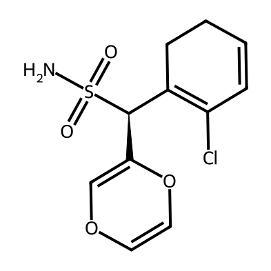 NS(=O)(=O)[C@H](C1=COC=CO1)C1=C(Cl)C=CCC1